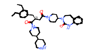 CCc1ccc(C[C@@H](CC(=O)N2CCC(N3CCc4ccccc4NC3=O)CC2)C(=O)N2CCC(C3CCNCC3)CC2)cc1CC